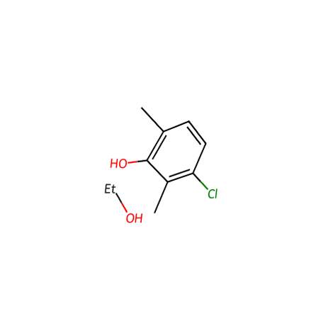 CCO.Cc1ccc(Cl)c(C)c1O